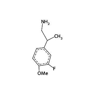 COc1ccc(C(C)CN)cc1F